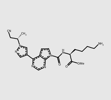 COC(=O)[C@H](CCCCN)NC(=O)n1ccc2c(-c3cnn([C@@H](C)CC#N)c3)ncnc21